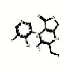 CCc1c(F)cncc1[C@@H]1C(C(=O)O)=C(CF)NC2=C1C(=O)OC2